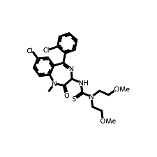 COCCN(CCOC)C(=S)NC1N=C(c2ccccc2Cl)c2cc(Cl)ccc2N(C)C1=O